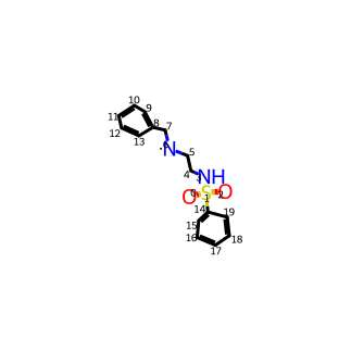 O=S(=O)(NCC[N]Cc1ccccc1)c1ccccc1